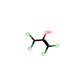 OC(=C(Cl)Cl)C(Cl)Cl